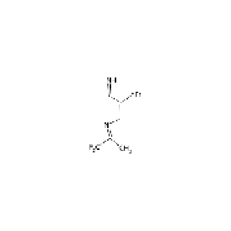 CCC/C(C=N)=C/N=C(\C)C(F)(F)F